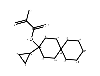 C=C(C)C(=O)OC1(C2CC2)CCC2(CCCCC2)CC1